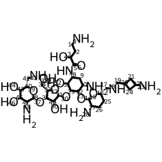 NCCC(O)C(=O)N[C@@H]1C[C@H](N)[C@@H](O[C@H]2O[C@H](CNCC3CC(N)C3)CC[C@H]2N)[C@H](O[C@@H]2O[C@H](CO)[C@@H](O[C@H]3O[C@@H](CN)[C@@H](O)[C@H](O)[C@H]3N)[C@H]2O)[C@H]1O